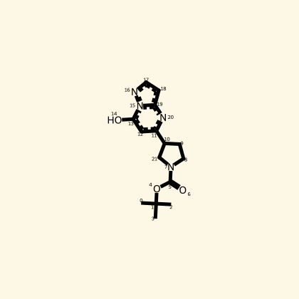 CC(C)(C)OC(=O)N1CCC(c2cc(O)n3nccc3n2)C1